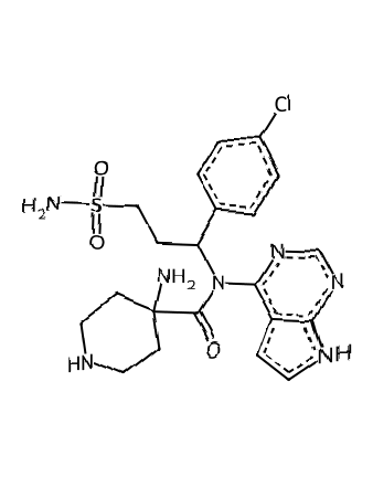 NC1(C(=O)N(c2ncnc3[nH]ccc23)C(CCS(N)(=O)=O)c2ccc(Cl)cc2)CCNCC1